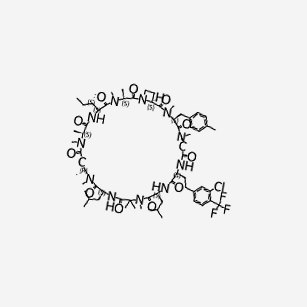 CC[C@H](C)[C@@H]1NC(=O)[C@H](C)N(C)C(=O)C[C@@H](C)N(C)C(=O)[C@H](CC(C)C)NC(=O)C(C)(C)N(C)C(=O)[C@H](CC(C)C)NC(=O)[C@H](CCc2ccc(C(F)(F)F)c(Cl)c2)NC(=O)CN(C)C(=O)[C@H](Cc2ccc(C)cc2)N(C)C(=O)[C@@H]2CCN2C(=O)[C@H](C)N(C)C1=O